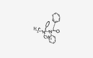 CN(C)C(=O)N(C(=O)c1ccccc1)c1ccccc1